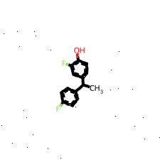 CC(c1ccc(F)cc1)c1ccc(O)c(F)c1